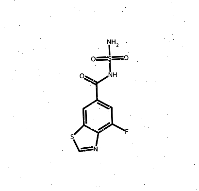 NS(=O)(=O)NC(=O)c1cc(F)c2ncsc2c1